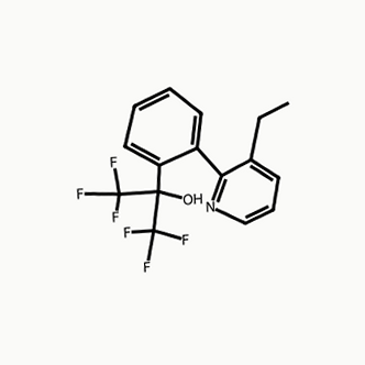 CCc1cccnc1-c1ccccc1C(O)(C(F)(F)F)C(F)(F)F